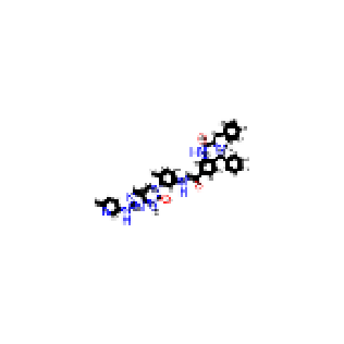 Cc1ccc(Nc2ncc3c(n2)N(C)C(=O)N(c2cc(NCC(=O)c4ccc5c(c4)NC(=O)[C@@H](Cc4ccccc4)N(C)C5c4ccccc4)ccc2C)C3)cn1